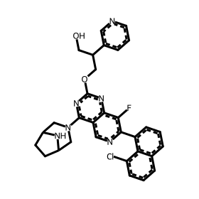 OCC(COc1nc(N2CC3CCC(C2)N3)c2cnc(-c3cccc4cccc(Cl)c34)c(F)c2n1)c1cccnc1